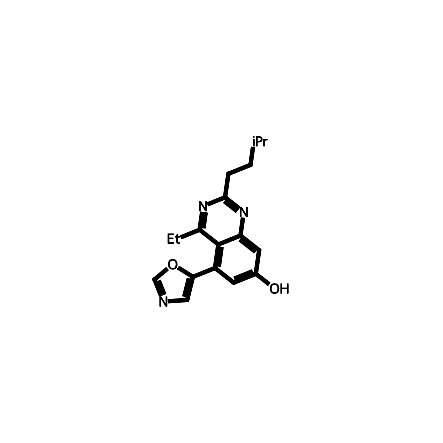 CCc1nc(CCC(C)C)nc2cc(O)cc(-c3cnco3)c12